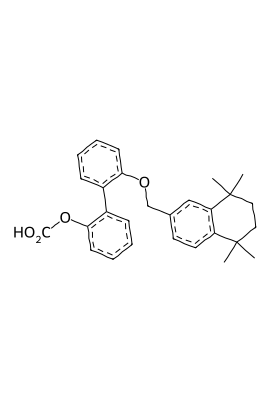 CC1(C)CCC(C)(C)c2cc(COc3ccccc3-c3ccccc3OC(=O)O)ccc21